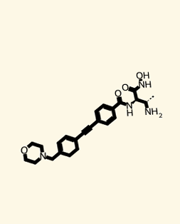 C[C@H](N)[C@@H](NC(=O)c1ccc(C#CC2=CC=C(CN3CCOCC3)CC2)cc1)C(=O)NO